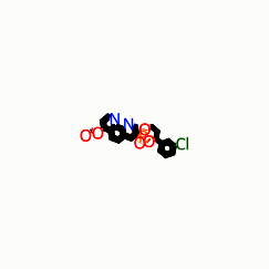 O=COc1ccnc2c1ccc1cc(P3(=O)OCCC(c4cccc(Cl)c4)O3)cnc12